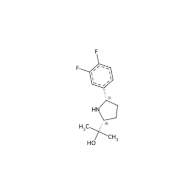 CC(C)(O)[C@H]1CC[C@@H](c2ccc(F)c(F)c2)N1